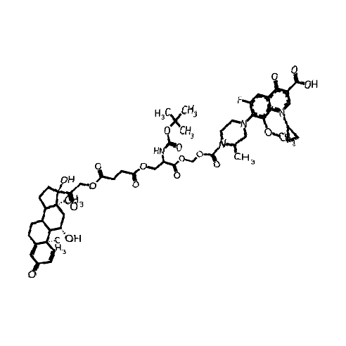 COc1c(N2CCN(C(=O)OCOC(=O)C(COC(=O)CCC(=O)OCC(=O)[C@@]3(O)CCC4C5CCC6=CC(=O)C=C[C@]6(C)C5[C@@H](O)C[C@@]43C)NC(=O)OC(C)(C)C)C(C)C2)c(F)cc2c(=O)c(C(=O)O)cn(C3CC3)c12